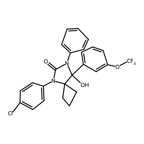 O=C1N(c2ccc(Cl)cc2)C2(CCC2)C(O)(c2cccc(OC(F)(F)F)c2)N1c1ccccc1